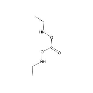 CCNOC(=O)ONCC